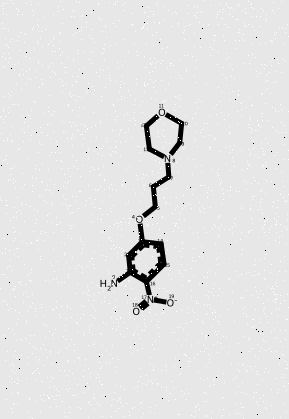 Nc1cc(OCCCN2CCOCC2)ccc1[N+](=O)[O-]